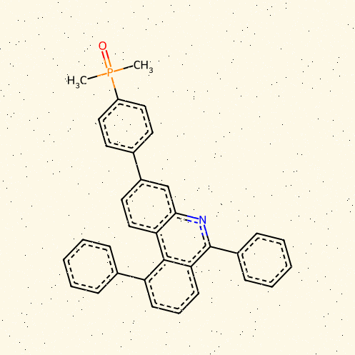 CP(C)(=O)c1ccc(-c2ccc3c(c2)nc(-c2ccccc2)c2cccc(-c4ccccc4)c23)cc1